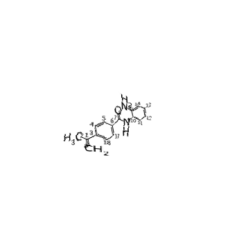 C=C(C)c1ccc(C(=O)Nc2ccccc2N)cc1